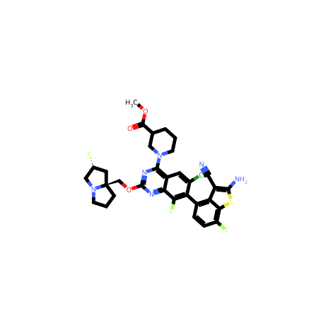 COC(=O)C1CCCN(c2nc(OC[C@@]34CCCN3C[C@H](F)C4)nc3c(F)c(-c4ccc(F)c5sc(N)c(C#N)c45)c(Cl)cc23)C1